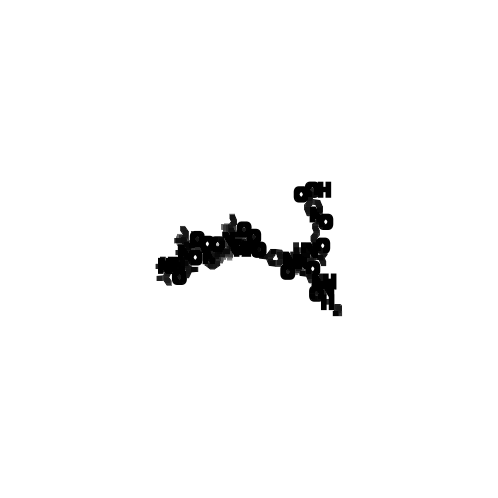 CC[C@H](C)[C@@H]([C@@H](CC(=O)N1CCC[C@H]1[C@H](OC)[C@@H](C)C(=O)N(C)[C@@H]([C@@H](C)CC)[C@@H](CC(=O)NOCc1ccc(NC(=O)[C@@H](CCCNC(N)=O)NC(=O)C(NC(=O)CCCC(=O)N2CCC(C(=O)O)CC2)C(C)C)cc1)OC)OC)N(C)C(=O)[C@@H](NC(=O)C(C(C)C)N(C)C)C(C)C